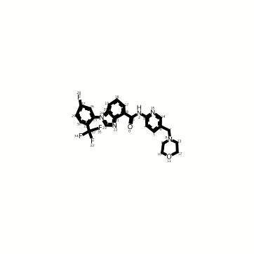 O=C(Nc1ccc(CN2CCOCC2)cn1)c1cccc2c1ncn2-c1cc(F)ccc1C(F)(F)F